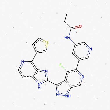 CCC(=O)Nc1cncc(-c2ncc3[nH]nc(-c4nc5c(-c6ccsc6)nccc5[nH]4)c3c2F)c1